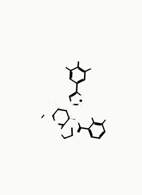 O=C(O[C@@H]1[C@@H](n2cc(-c3cc(F)c(F)c(F)c3)nn2)[C@@H](O)[C@@H](CO)O[C@@]12CCCO2)c1cccc(F)c1F